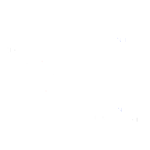 CN(C)CCc1c[nH]c2cccc(OC(=O)OCC(Cl)(Cl)Cl)c12